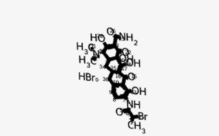 Br.CC(Br)C(=O)Nc1ccc2c(c1O)C(=O)C1=C(O)C3(O)C(=O)C(C(N)=O)=C(O)[C@@H](N(C)C)C3CC1C2